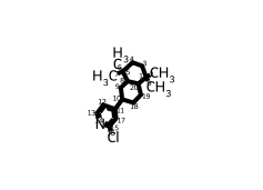 CC1(C)CCC(C)(C)C2CC(c3ccnc(Cl)c3)CCC21